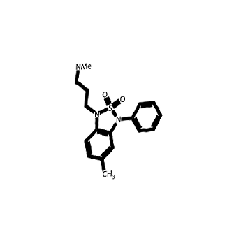 CNCCCN1c2ccc(C)cc2N(c2ccccc2)S1(=O)=O